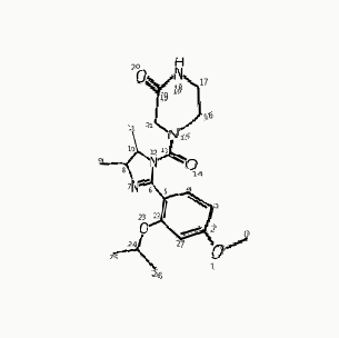 COc1ccc(C2=NC(C)C(C)N2C(=O)N2CCNC(=O)C2)c(OC(C)C)c1